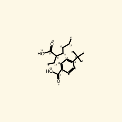 CC(C)(C)c1ccc(C(=O)O)cc1.CCCCC(CC)C(=O)O